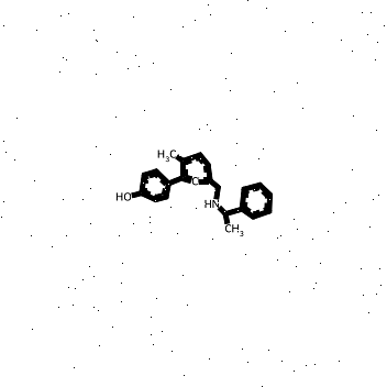 Cc1ccc(CNC(C)c2ccccc2)cc1-c1ccc(O)cc1